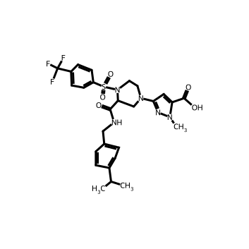 CC(C)c1ccc(CNC(=O)C2CN(c3cc(C(=O)O)n(C)n3)CCN2S(=O)(=O)c2ccc(C(F)(F)F)cc2)cc1